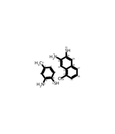 Cc1ccc(S)c(N)c1.Nc1cc2c(Cl)cccc2cc1S